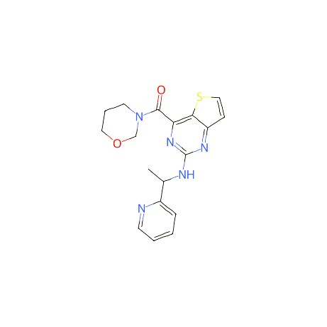 CC(Nc1nc(C(=O)N2CCCOC2)c2sccc2n1)c1ccccn1